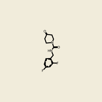 O=C1CCN(C(=O)NCc2ccc(F)cc2F)CC1